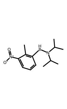 Cc1c(BN(C(C)C)C(C)C)cccc1[N+](=O)[O-]